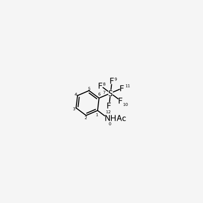 CC(=O)Nc1ccccc1S(F)(F)(F)(F)F